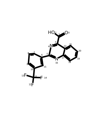 O=C(O)c1nc(-c2cccc(C(F)(F)F)c2)nc2ccccc12